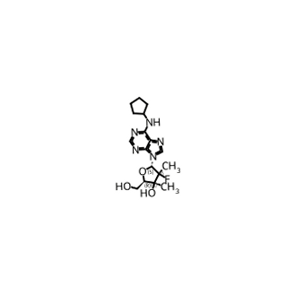 C[C@]1(F)[C@@H](n2cnc3c(NC4CCCC4)ncnc32)O[C@H](CO)[C@@]1(C)O